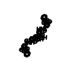 COc1ccc(C(=O)Nc2ccc(C=Cc3ccc(NC(=O)c4ccc(OC)c(S(=O)(=O)N5CCCCCC5)c4)cc3S(=O)(=O)O)c(S(=O)(=O)O)c2)cc1S(=O)(=O)N1CCCCCC1